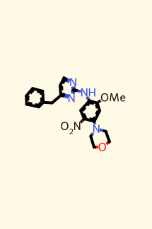 COc1cc(N2CCOCC2)c([N+](=O)[O-])cc1Nc1nccc(Cc2ccccc2)n1